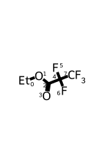 CCOC(=O)C(F)(F)C(F)(F)F